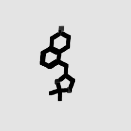 CC1(C)OCC(Cc2cccc3c2CCNC3)O1